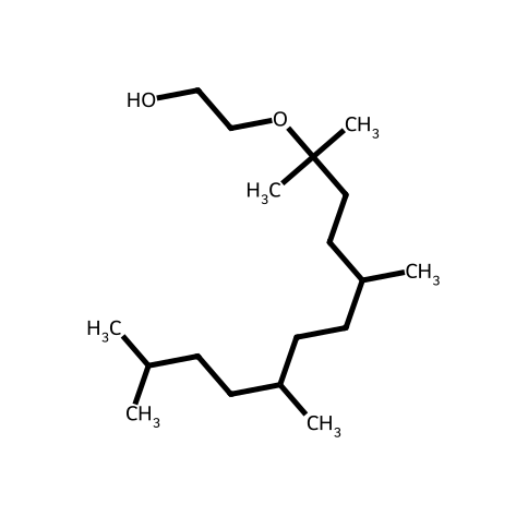 CC(C)CCC(C)CCC(C)CCC(C)(C)OCCO